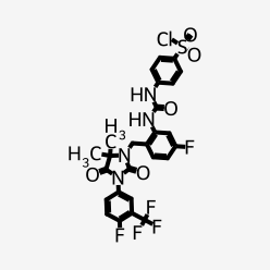 CC1(C)C(=O)N(c2ccc(F)c(C(F)(F)F)c2)C(=O)N1Cc1ccc(F)cc1NC(=O)Nc1ccc(S(=O)(=O)Cl)cc1